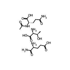 CC(=O)N[C@@H](CCC(N)=O)C(=O)O.C[C@@H](O)[C@H](N)C(=O)O.NC(=O)[C@@H](N)CCC(=O)O